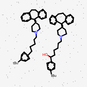 CC(C)(C)c1ccc(C(O)CCCCCN2CCC(=C3c4ccccc4CCc4ccccc43)CC2)cc1.CC(C)(C)c1ccc(CCCCCN2CCC(=C3c4ccccc4CCc4ccccc43)CC2)cc1